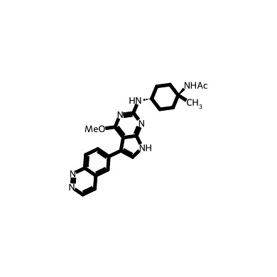 COc1nc(N[C@H]2CC[C@](C)(NC(C)=O)CC2)nc2[nH]cc(-c3ccc4nnccc4c3)c12